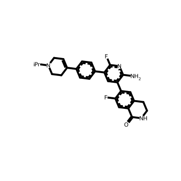 CC(C)N1CC=C(c2ccc(-c3cc(-c4cc5c(cc4F)C(=O)NCC5)c(N)nc3F)cc2)CC1